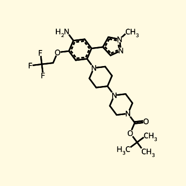 Cn1cc(-c2cc(N)c(OCC(F)(F)F)cc2N2CCC(N3CCN(C(=O)OC(C)(C)C)CC3)CC2)cn1